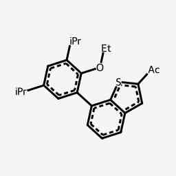 CCOc1c(-c2cccc3cc(C(C)=O)sc23)cc(C(C)C)cc1C(C)C